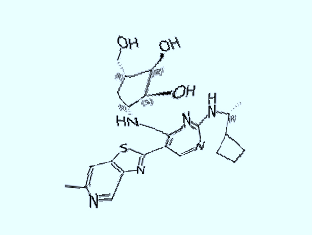 Cc1cc2sc(-c3cnc(N[C@H](C)C4CCC4)nc3N[C@@H]3C[C@H](CO)[C@@H](O)[C@H]3O)nc2cn1